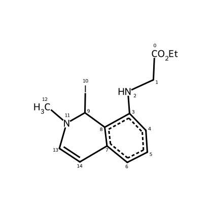 CCOC(=O)CNc1cccc2c1C(I)N(C)C=C2